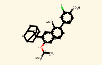 COc1c(-c2ccc(C(=O)O)c(Cl)c2)ccc2cc(OC(C)OC)c(C34CC5CC(CC(C5)C3)C4)cc12